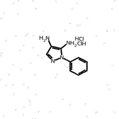 Cl.Cl.Nc1cnn(-c2ccccc2)c1N